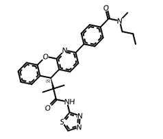 CCCN(C)C(=O)c1ccc(-c2ccc3c(n2)Oc2ccccc2[C@@H]3C(C)(C)C(=O)Nc2nncs2)cc1